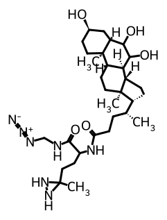 C[C@H](CCC(=O)NC(CCC1(C)NN1)C(=O)NCN=[N+]=[N-])[C@H]1CC[C@H]2[C@@H]3C(O)C(O)[C@@H]4C[C@H](O)CC[C@]4(C)[C@H]3CC[C@]12C